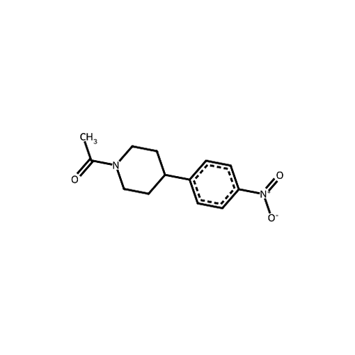 CC(=O)N1CCC(c2ccc([N+](=O)[O-])cc2)CC1